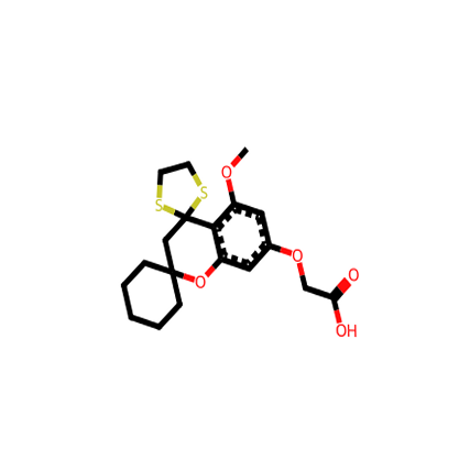 COc1cc(OCC(=O)O)cc2c1C1(CC3(CCCCC3)O2)SCCS1